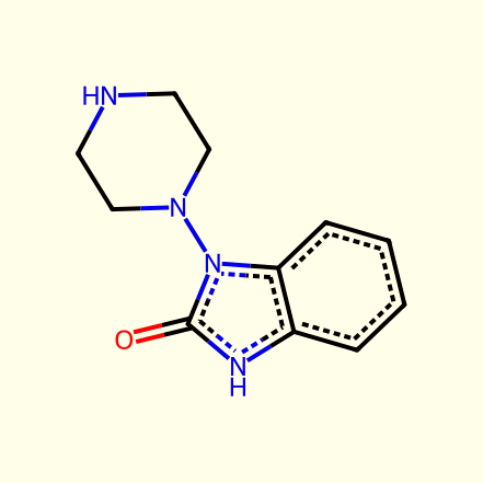 O=c1[nH]c2ccccc2n1N1CCNCC1